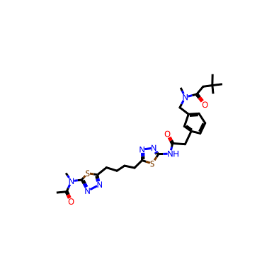 CC(=O)N(C)c1nnc(CCCCc2nnc(NC(=O)Cc3cccc(CN(C)C(=O)CC(C)(C)C)c3)s2)s1